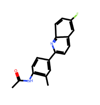 CC(=O)Nc1ccc(-c2ccc3cc(F)ccc3n2)cc1C